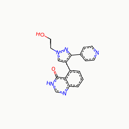 O=c1[nH]cnc2cccc(-c3cn(CCO)nc3-c3ccncc3)c12